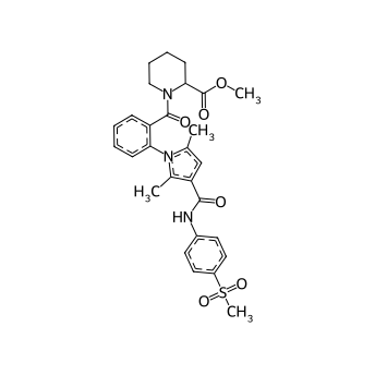 COC(=O)C1CCCCN1C(=O)c1ccccc1-n1c(C)cc(C(=O)Nc2ccc(S(C)(=O)=O)cc2)c1C